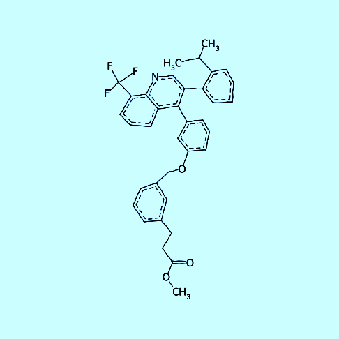 COC(=O)CCc1cccc(COc2cccc(-c3c(-c4ccccc4C(C)C)cnc4c(C(F)(F)F)cccc34)c2)c1